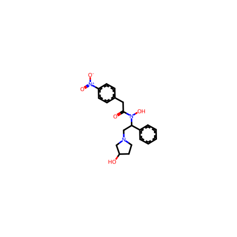 O=C(Cc1ccc([N+](=O)[O-])cc1)N(O)C(CN1CCC(O)C1)c1ccccc1